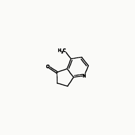 Cc1ccnc2c1C(=O)CC2